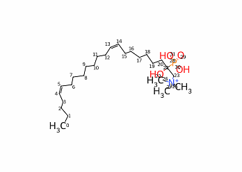 CCCC/C=C\CCCCCCC/C=C\CCCCCCC(O)(C[N+](C)(C)C)P(=O)(O)O